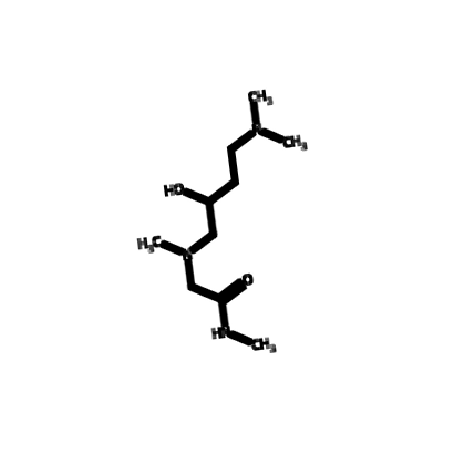 CNC(=O)CN(C)CC(O)CCN(C)C